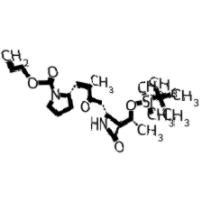 C=CCOC(=O)N1CCC[C@H]1C=C(C)C(=O)C[C@H]1NC(=O)[C@@H]1[C@@H](C)O[Si](C)(C)C(C)(C)C